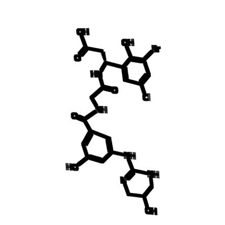 O=C(O)C[C@@H](NC(=O)CNC(=O)c1cc(O)cc(NC2=NCC(O)CN2)c1)c1cc(Cl)cc(Br)c1O